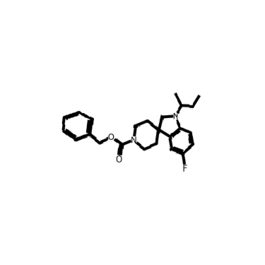 CCC(C)N1CC2(CCN(C(=O)OCc3ccccc3)CC2)c2cc(F)ccc21